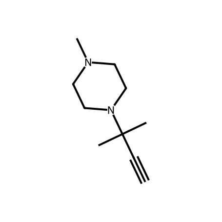 C#CC(C)(C)N1CCN(C)CC1